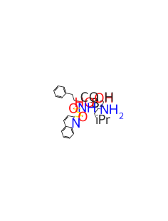 CC(C)C[C@H](N)B(O)O.O=C(O)[C@H](CCc1ccccc1)NS(=O)(=O)c1ccc2ccccc2n1